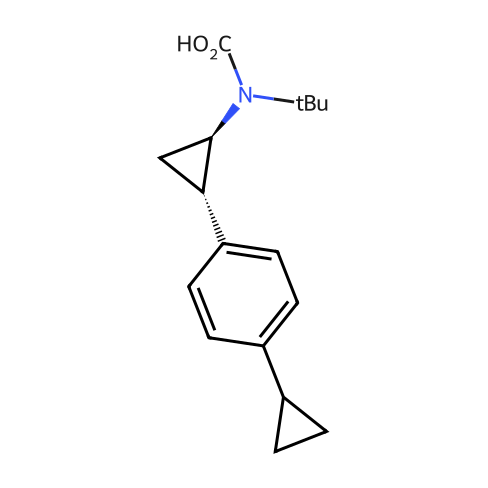 CC(C)(C)N(C(=O)O)[C@@H]1C[C@H]1c1ccc(C2CC2)cc1